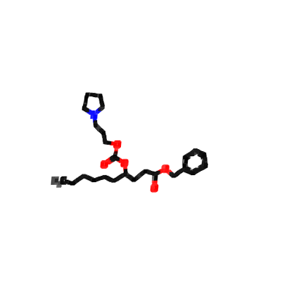 CCCCCCC(CCC(=O)OCc1ccccc1)OC(=O)OCCCN1CCCC1